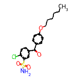 CCCCCCOc1ccc(C(=O)c2ccc(Cl)c(S(N)(=O)=O)c2)cc1